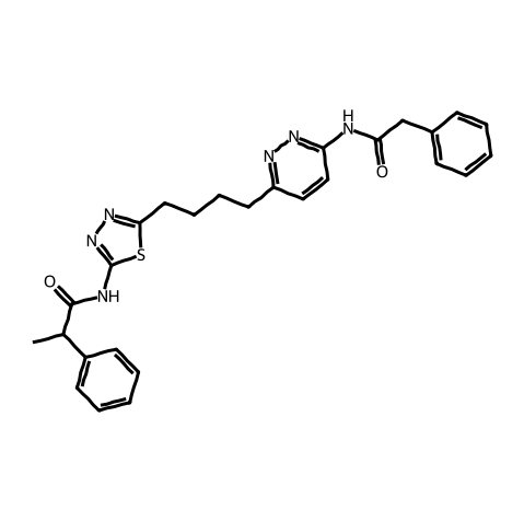 CC(C(=O)Nc1nnc(CCCCc2ccc(NC(=O)Cc3ccccc3)nn2)s1)c1ccccc1